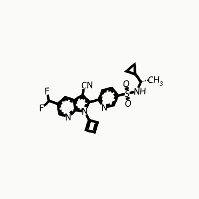 C[C@H](NS(=O)(=O)c1ccc(-c2c(C#N)c3cc(C(F)F)cnc3n2C2=CC=C2)nc1)C1CC1